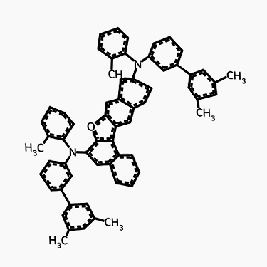 Cc1cc(C)cc(-c2cccc(N(c3ccc4cc5c(cc4c3)oc3c(N(c4cccc(-c6cc(C)cc(C)c6)c4)c4ccccc4C)cc4ccccc4c35)c3ccccc3C)c2)c1